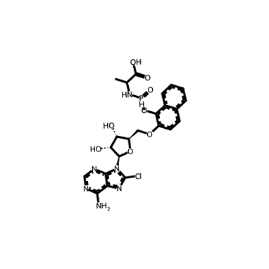 CC(N[PH](=O)Oc1c(OC[C@H]2O[C@@H](n3c(Cl)nc4c(N)ncnc43)[C@H](O)[C@@H]2O)ccc2ccccc12)C(=O)O